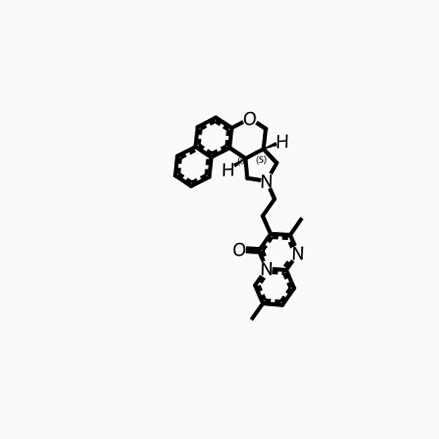 Cc1ccc2nc(C)c(CCN3C[C@H]4COc5ccc6ccccc6c5[C@H]4C3)c(=O)n2c1